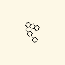 c1ccc(-c2ccc3c(c2)B2c4ccccc4Oc4cccc(c42)O3)cc1